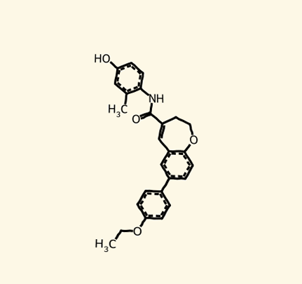 CCOc1ccc(-c2ccc3c(c2)C=C(C(=O)Nc2ccc(O)cc2C)CCO3)cc1